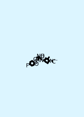 [C-]#[N+]c1ccc(NC(=O)C(C)(N)CS(=O)(=O)c2ccc(F)cc2)cc1C